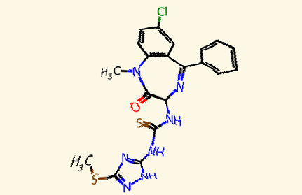 CSc1n[nH]c(NC(=S)NC2N=C(c3ccccc3)c3cc(Cl)ccc3N(C)C2=O)n1